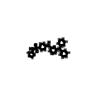 O=S(=O)(Nc1nccs1)c1ccc(Nc2cncc(C(c3ccccc3)c3ccccc3)n2)cc1